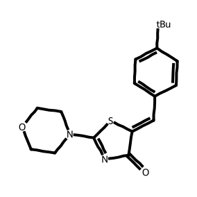 CC(C)(C)c1ccc(/C=C2\SC(N3CCOCC3)=NC2=O)cc1